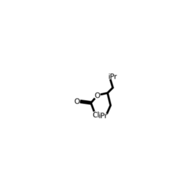 CC(C)CC(CC(C)C)OC(=O)Cl